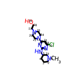 CN1CCCC(Nc2nc(Cl)cc(N3CCN(CCO)CC3)n2)C1